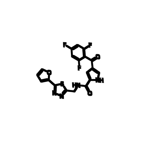 O=C(NCc1nnc(-c2ccco2)s1)c1cc(C(=O)c2c(F)cc(F)cc2F)c[nH]1